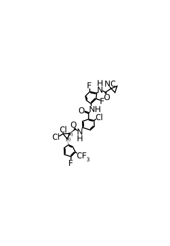 N#CC1(C(=O)Nc2c(F)ccc(NC(=O)c3cc(NC(=O)[C@H]4[C@H](c5ccc(F)c(C(F)(F)F)c5)C4(Cl)Cl)ccc3Cl)c2F)CC1